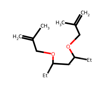 C=C(C)COC([CH]C(CC)OCC(=C)C)CC